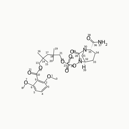 COc1cccc(OC)c1C(=O)OCC(C)(C)CC(C)(C)COS(=O)(=O)ON1C(=O)N2C[C@H]1CC[C@H]2C(N)=O